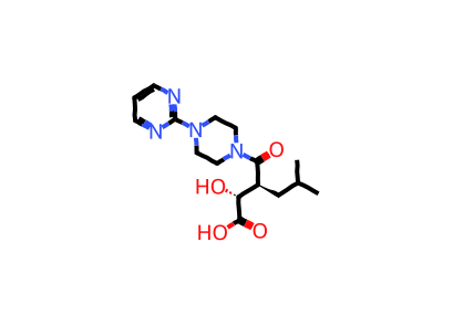 CC(C)C[C@H](C(=O)N1CCN(c2ncccn2)CC1)[C@@H](O)C(=O)O